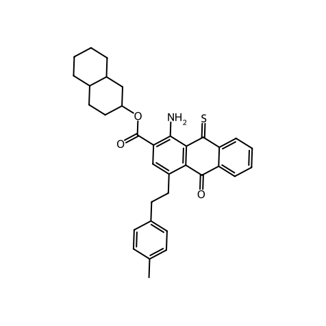 Cc1ccc(CCc2cc(C(=O)OC3CCC4CCCCC4C3)c(N)c3c2C(=O)c2ccccc2C3=S)cc1